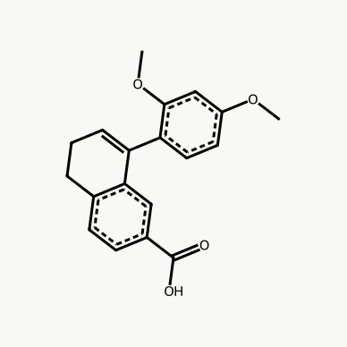 COc1ccc(C2=CCCc3ccc(C(=O)O)cc32)c(OC)c1